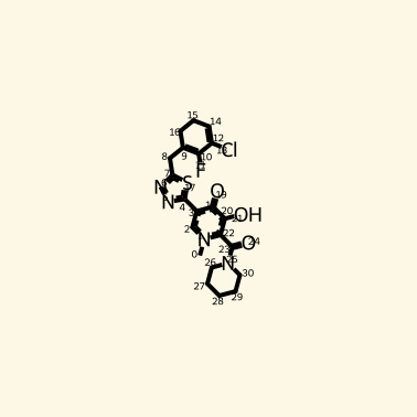 Cn1cc(-c2nnc(CC3=C(F)C(Cl)=CCC3)s2)c(=O)c(O)c1C(=O)N1CCCCC1